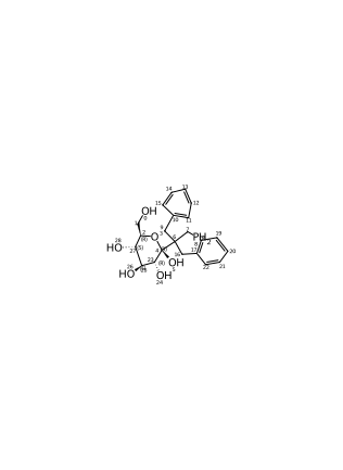 OC[C@H]1O[C@](O)(C(CP)(Cc2ccccc2)Cc2ccccc2)[C@H](O)[C@@H](O)[C@@H]1O